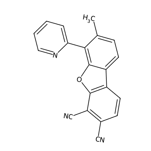 Cc1ccc2c(oc3c(C#N)c(C#N)ccc32)c1-c1ccccn1